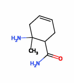 CC1(N)CC=CCC1C(N)=O